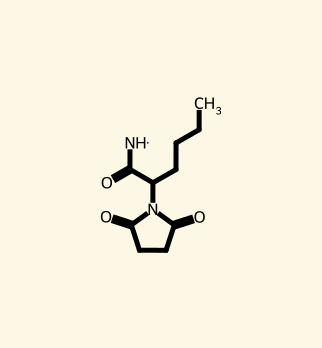 CCCCC(C([NH])=O)N1C(=O)CCC1=O